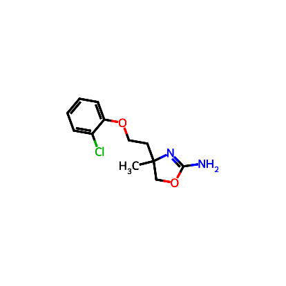 CC1(CCOc2ccccc2Cl)COC(N)=N1